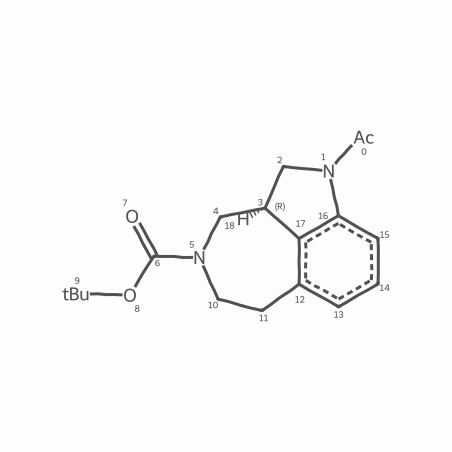 CC(=O)N1C[C@@H]2CN(C(=O)OC(C)(C)C)CCc3cccc1c32